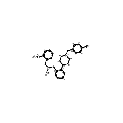 COc1ccccc1CN(Cc1ccccc1C1CCN(Cc2ccc(F)cc2)CC1)C(C)=O